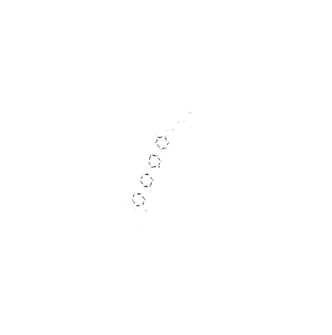 CCCCCCc1ccc(-c2ccc(-c3ccc(-c4cc(F)c(N=C=S)c(F)c4)cc3)c(C)c2)cc1